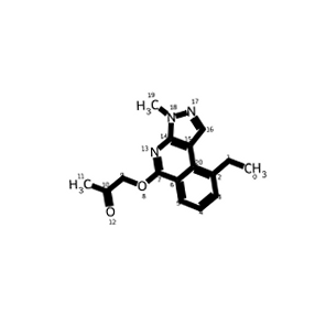 CCc1cccc2c(OCC(C)=O)nc3c(cnn3C)c12